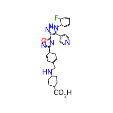 O=C(O)C1CCC(NCC2=CCC(c3noc(-c4nnn(C5C=CC=CC5F)c4-c4ccncc4)n3)C=C2)CC1